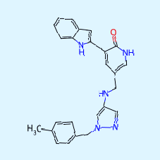 Cc1ccc(Cn2cc(NCc3c[nH]c(=O)c(-c4cc5ccccc5[nH]4)c3)cn2)cc1